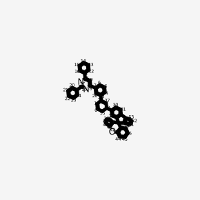 C1=CC(c2cccc(-c3cc(-c4ccccc4)nc(-c4ccccc4)n3)c2)=CC(c2ccc3c(c2)C2(c4ccccc4Oc4ccccc42)c2ccccc2-3)C1